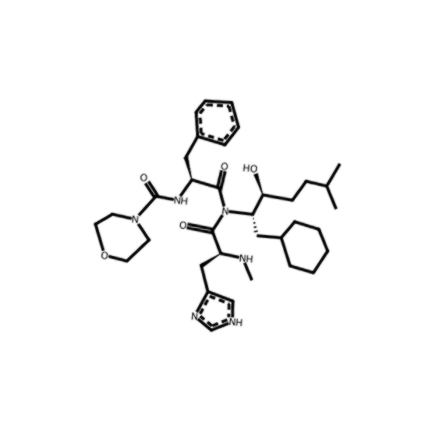 CN[C@@H](Cc1c[nH]cn1)C(=O)N(C(=O)[C@H](Cc1ccccc1)NC(=O)N1CCOCC1)[C@@H](CC1CCCCC1)[C@@H](O)CCC(C)C